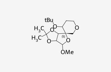 COC1O[C@]2(COCCC2OC(C)(C)C)C2OC(C)(C)OC12